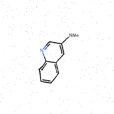 CNc1cnc2ccccc2c1